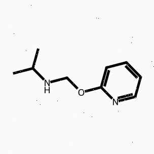 CC(C)NCOc1ccccn1